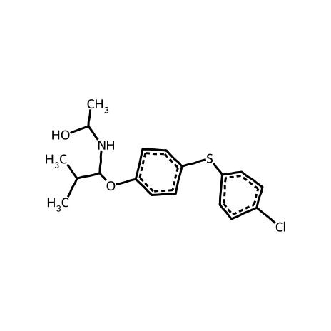 CC(O)NC(Oc1ccc(Sc2ccc(Cl)cc2)cc1)C(C)C